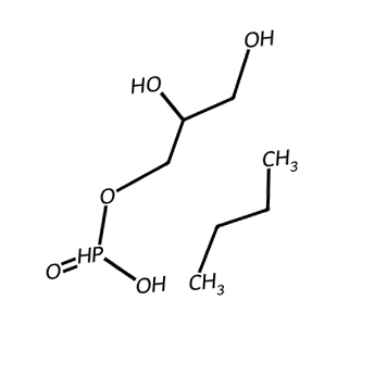 CCCC.O=[PH](O)OCC(O)CO